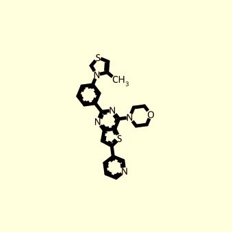 CC1=CSCN1c1cccc(-c2nc(N3CCOCC3)c3sc(-c4cccnc4)cc3n2)c1